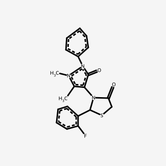 Cc1c(N2C(=O)CSC2c2ccccc2F)c(=O)n(-c2ccccc2)n1C